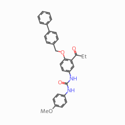 CCC(=O)c1cc(NC(=O)Nc2ccc(OC)cc2)ccc1OCc1ccc(-c2ccccc2)cc1